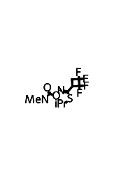 CNC(=O)ON=C(SC(C)C)C1CC(F)(F)C1(F)F